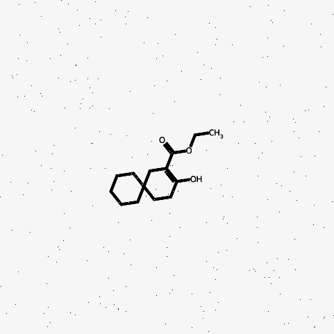 CCOC(=O)C1=C(O)CCC2(CCCCC2)C1